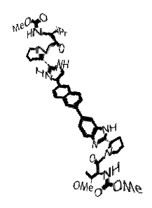 COC(=O)N[C@H](C(=O)N1CCC[C@H]1C1NC=C(c2ccc3cc(-c4ccc5nc([C@@H]6CCCN6C(=O)[C@@H](NC(=O)OC)[C@@H](C)OC)[nH]c5c4)ccc3c2)N1)C(C)C